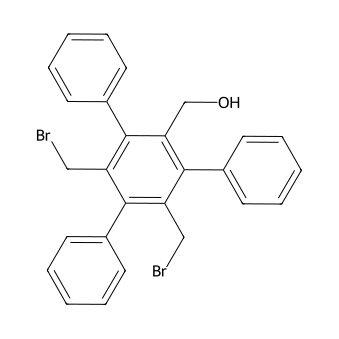 OCc1c(-c2ccccc2)c(CBr)c(-c2ccccc2)c(CBr)c1-c1ccccc1